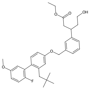 CCOC(=O)CC(CCO)c1cccc(COc2ccc(-c3cc(OC)ccc3F)c(CC(C)(C)C)c2)c1